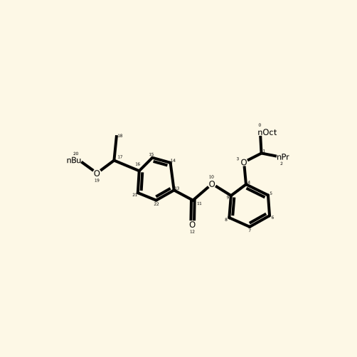 CCCCCCCCC(CCC)Oc1ccccc1OC(=O)c1ccc(C(C)OCCCC)cc1